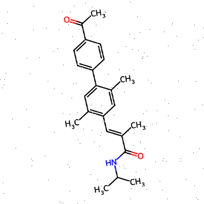 CC(=O)c1ccc(-c2cc(C)c(/C=C(\C)C(=O)NC(C)C)cc2C)cc1